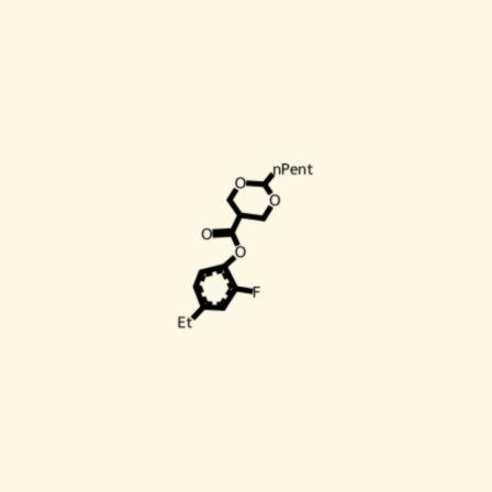 CCCCCC1OCC(C(=O)Oc2ccc(CC)cc2F)CO1